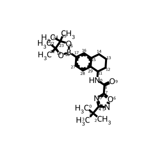 CC(C)(C)c1noc(C(=O)NC2CCCc3cc(B4OC(C)(C)C(C)(C)O4)ccc32)n1